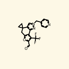 O=Cc1oc2c(c1C(F)(F)F)-c1nn(Cc3ccncc3)cc1C1(CC1)C2